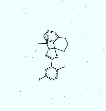 CC(=O)N1N=C(c2cc(F)ccc2F)OC12CCCc1ccccc12